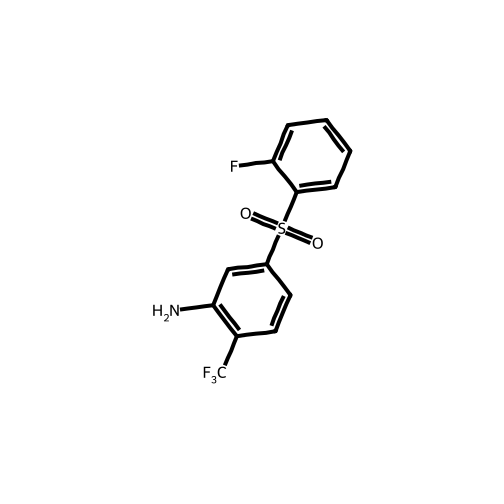 Nc1cc(S(=O)(=O)c2ccccc2F)ccc1C(F)(F)F